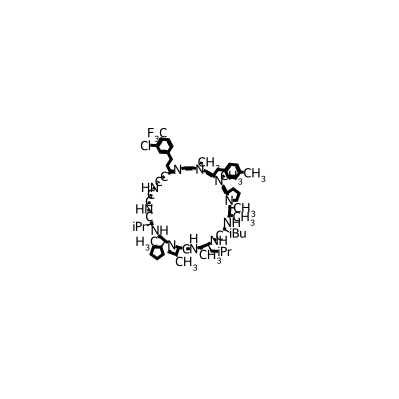 CC[C@H](C)[C@H]1CN[C@@H](CC(C)C)C(C)NCC2[C@H](C)CN2[C@@H](C2CCCC2)C(C)N[C@@H](C(C)C)CNCCNCCC(CCc2ccc(C(F)(F)F)c(Cl)c2)=NC=CN(C)C=C(Cc2ccc(C)cc2)N(C)C=C2CCCN2[C@@H](C)C(C)N1